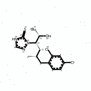 C[C@@H](Cc1ccc(Cl)cc1Cl)C[C@@H]([C@@H](O)C(C)(C)C)n1nc[nH]c1=S